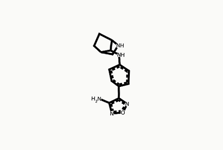 Nc1nonc1-c1ccc(NC2C3CCC2NC3)cc1